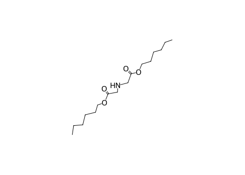 CCCCCCOC(=O)CNCC(=O)OCCCCCC